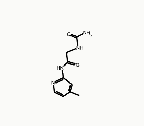 Cc1ccnc(NC(=O)CNC(N)=O)c1